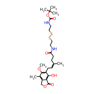 COc1c(C)c2c(c(O)c1CC=C(C)CCC(=O)NCCSSCCNC(=O)OC(C)(C)C)C(=O)OC2